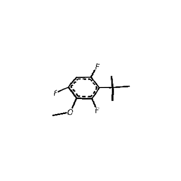 COc1c(F)cc(F)c(C(C)(C)C)c1F